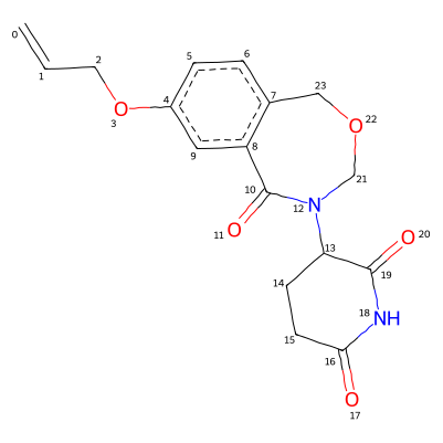 C=CCOc1ccc2c(c1)C(=O)N(C1CCC(=O)NC1=O)COC2